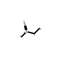 CCS(C)=S